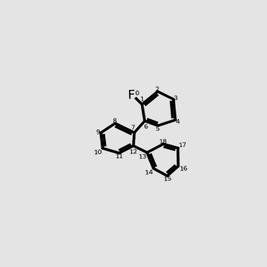 Fc1ccccc1-c1ccccc1-c1ccccc1